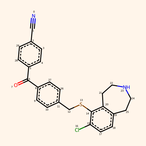 N#Cc1ccc(C(=O)c2ccc(CSc3c(Cl)ccc4c3CCNCC4)cc2)cc1